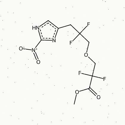 COC(=O)C(F)(F)COCC(F)(F)Cc1c[nH]c([N+](=O)[O-])n1